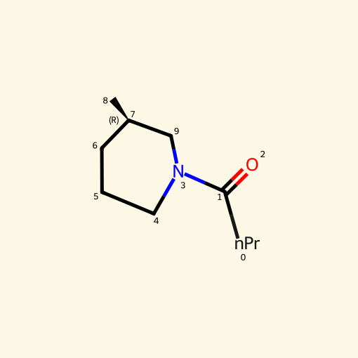 CCCC(=O)N1CCC[C@@H](C)C1